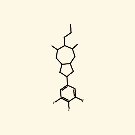 CCCC1C(F)CC2CC(c3cc(F)c(F)c(F)c3)CC2CC1F